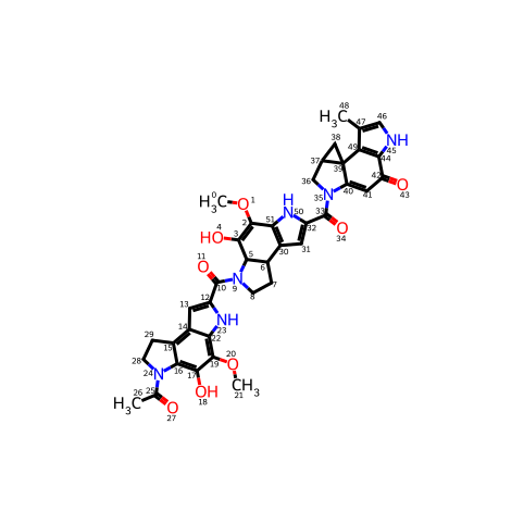 COC1=C(O)C2C(CCN2C(=O)c2cc3c4c(c(O)c(OC)c3[nH]2)N(C(C)=O)CC4)c2cc(C(=O)N3CC4CC45C3=CC(=O)c3[nH]cc(C)c35)[nH]c21